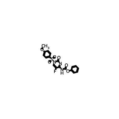 COc1ccc(S(=O)(=O)n2cc(F)c(NC(=O)Oc3ccccc3)nc2=O)cc1